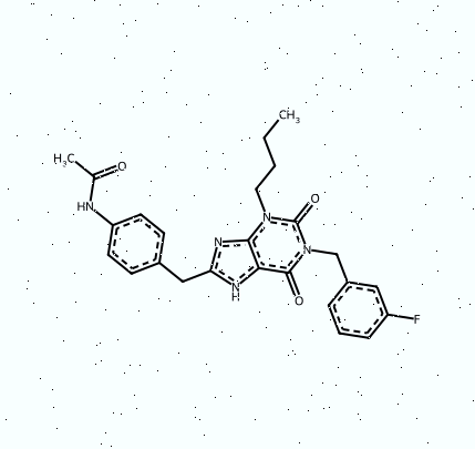 CCCCn1c(=O)n(Cc2cccc(F)c2)c(=O)c2[nH]c(Cc3ccc(NC(C)=O)cc3)nc21